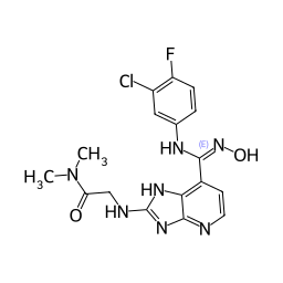 CN(C)C(=O)CNc1nc2nccc(/C(=N\O)Nc3ccc(F)c(Cl)c3)c2[nH]1